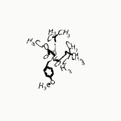 COC(=O)[C@H](CC(C)C)N(Cc1ccc(OC)cc1)C(=O)CC(C)(C)C